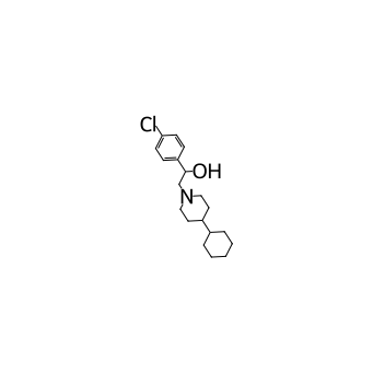 OC(CN1CCC(C2CCCCC2)CC1)c1ccc(Cl)cc1